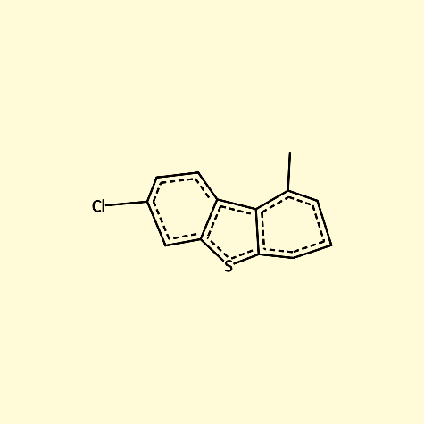 Cc1cccc2sc3cc(Cl)ccc3c12